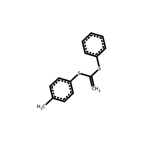 C=C(Sc1ccccc1)Sc1ccc(C)cc1